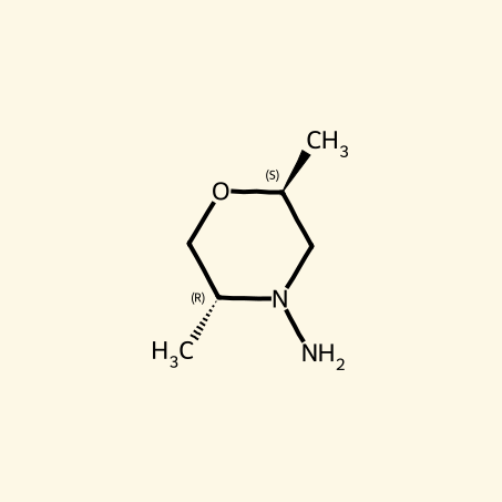 C[C@@H]1CO[C@@H](C)CN1N